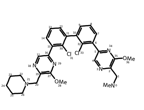 CNCc1ncc(-c2cccc(-c3cccc(-c4cnc(CN5CCCCC5)c(OC)n4)c3Cl)c2Cl)nc1OC